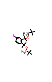 CC(C)(C)[SiH2]OC(C)(C)c1ccc(I)cc1C(C)(C)O[SiH2]C(C)(C)C